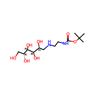 CC(C)(C)OC(=O)NCCNC[C@H](O)[C@@H](O)[C@H](O)[C@H](O)CO